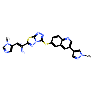 Cn1cc(-c2cnc3ccc(Sc4nnc5sc(/C(N)=C/c6cncn6C)nn45)cc3c2)cn1